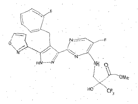 COC(=O)C(O)(CNc1nc(-c2n[nH]c(-c3ccon3)c2Cc2ccccc2F)ncc1F)C(F)(F)F